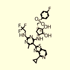 Cc1nc(NCC(F)(F)F)nc(N[C@@H]2C[C@H](CS(=O)(=O)c3ccc(F)cc3)[C@@H](O)[C@H]2O)c1-c1nc2c(C3CC3)nccc2s1